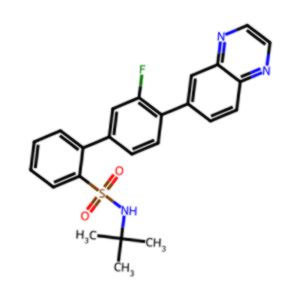 CC(C)(C)NS(=O)(=O)c1ccccc1-c1ccc(-c2ccc3nccnc3c2)c(F)c1